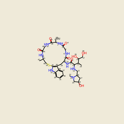 CCC(C)C1NC(=O)CNC(=O)C(NC(=O)C(NCC2CC(O)CN2C)C(C)C(O)CO)Cc2c([nH]c3ccccc23)SCC(C)NC(=O)CNC1=O